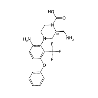 NC[C@H]1CN(c2c(N)ccc(Oc3ccccc3)c2C(F)(F)F)CCN1C(=O)O